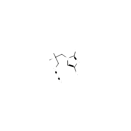 C[C@](O)(CN=[N+]=[N-])Cn1cc(N)nc1Cl